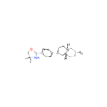 CCC1CC[C@@H]2C[C@H](c3ccc(C4NC(C)(C)CO4)cc3)CC[C@@H]2C1